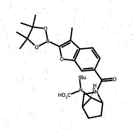 Cc1c(B2OC(C)(C)C(C)(C)O2)oc2cc(C(=O)N3CC4CCC3[C@@H]4N(C(=O)O)C(C)(C)C)ccc12